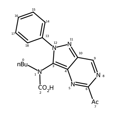 CCCCN(C(=O)O)c1c2nc(C(C)=O)ncc2nn1-c1ccccc1